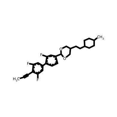 CC#Cc1c(F)cc(-c2ccc(C3OCC(CCC4CCC(C)CC4)CO3)cc2F)cc1F